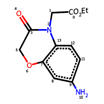 CCOC(=O)CN1C(=O)COc2cc(N)ccc21